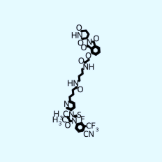 CC1(C)C(=O)N(c2ccc(C#N)c(C(F)(F)F)c2F)C(=S)N1c1ccc(CCCC(=O)NCCCCNC(=O)COc2cccc3c2C(=O)N(C2CCC(=O)NC2=O)C3=O)nc1